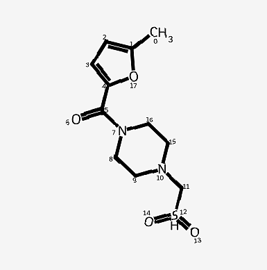 Cc1ccc(C(=O)N2CCN(C[SH](=O)=O)CC2)o1